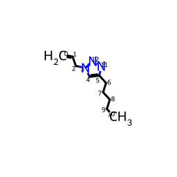 C=CCn1cc(CCCCC)nn1